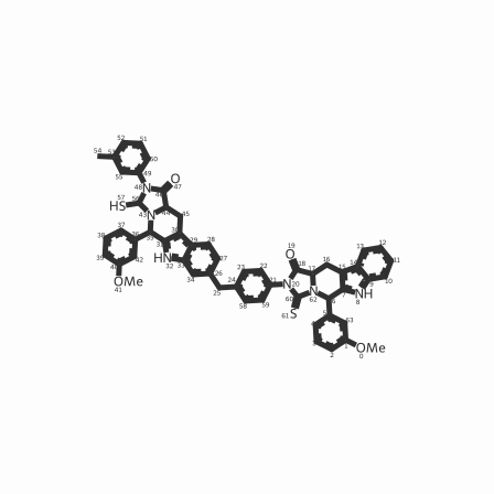 COc1cccc(C2c3[nH]c4ccccc4c3CC3C(=O)N(c4ccc(Cc5ccc6c7c([nH]c6c5)C(c5cccc(OC)c5)N5C(C7)C(=O)N(c6cccc(C)c6)C5S)cc4)C(=S)N32)c1